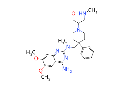 CNCC(C=O)N1CCC(CN(C)c2nc(N)c3cc(OC)c(OC)cc3n2)(c2ccccc2)CC1